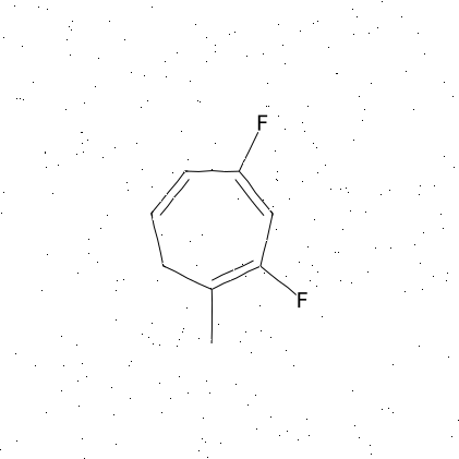 CC1=C(F)C=C(F)C=CC1